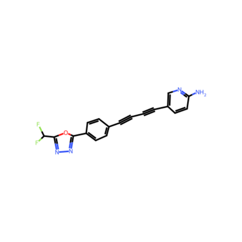 Nc1ccc(C#CC#Cc2ccc(-c3nnc(C(F)F)o3)cc2)cn1